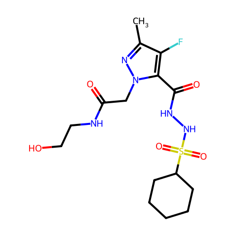 Cc1nn(CC(=O)NCCO)c(C(=O)NNS(=O)(=O)C2CCCCC2)c1F